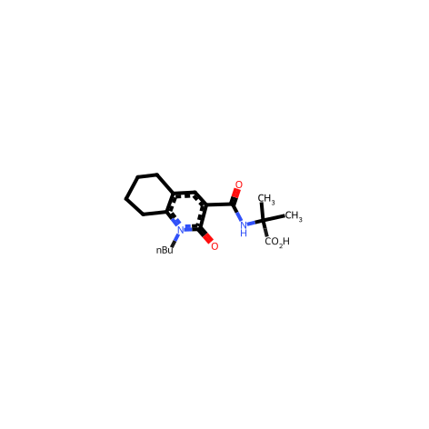 CCCCn1c2c(cc(C(=O)NC(C)(C)C(=O)O)c1=O)CCCC2